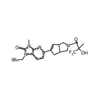 Cn1c(=O)n(CC(C)(C)C)c2ccc(C3=CC4CN(C(=O)C(C)(O)C(F)(F)F)CC4C3)nc21